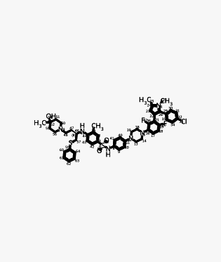 Cc1cc(S(=O)(=O)Nc2ccc(N3CCN(c4ccc(F)c(-c5cc(C)n(C)c5-c5ccc(Cl)cc5)c4F)CC3)cc2)ccc1N[C@H](CCN1CCC(C)(O)CC1)CSc1ccccc1